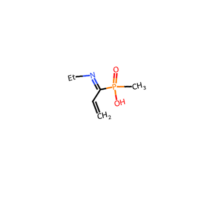 C=C/C(=N\CC)P(C)(=O)O